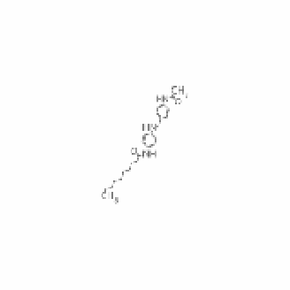 CCCCCCCCCC(=O)Nc1ccc(NCc2ccc(NC(C)=O)cc2)cc1